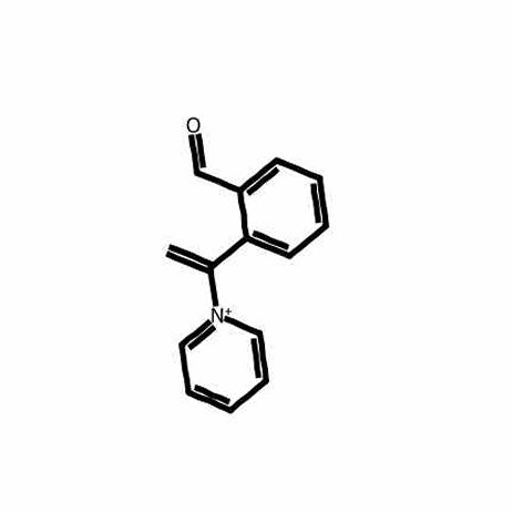 C=C(c1ccccc1C=O)[n+]1ccccc1